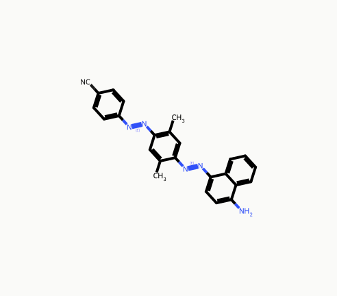 Cc1cc(/N=N/c2ccc(N)c3ccccc23)c(C)cc1/N=N/c1ccc(C#N)cc1